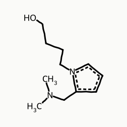 CN(C)Cc1cccn1CCCCO